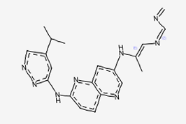 C=N/C=N\C=C(/C)Nc1cnc2ccc(Nc3cc(C(C)C)cnn3)nc2c1